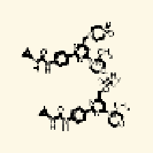 C[C@H]1COCCN1c1cc(CN2CCS(=O)(=O)CC2)nc(-c2ccc(NC(=O)NC3CC3)cc2)n1.C[C@H]1COCCN1c1cc(COS(C)(=O)=O)nc(-c2ccc(NC(=O)NC3CC3)cc2)n1